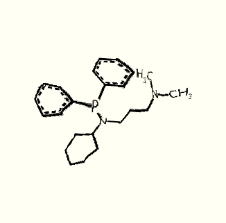 CN(C)CCCN(C1CCCCC1)P(c1ccccc1)c1ccccc1